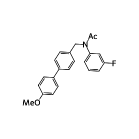 COc1ccc(-c2ccc(CN(C(C)=O)c3cccc(F)c3)cc2)cc1